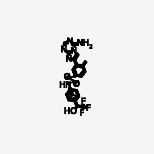 Cc1ccc(S(=O)(=O)NC23CCC(C(O)C(F)(F)F)(CC2)OC3)cc1-c1cn2c(N)ncnc2n1